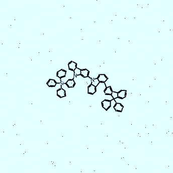 c1ccc(C2(c3ccccc3)c3ccccc3-c3cc(-c4cccc5c4c4ccccc4n5-c4ccc5c6ccccc6n(-c6cccc([Si](c7ccccc7)(c7ccccc7)c7ccccc7)c6)c5c4)ccc32)cc1